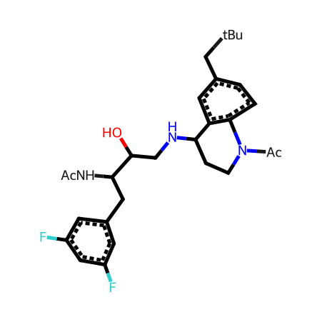 CC(=O)NC(Cc1cc(F)cc(F)c1)C(O)CNC1CCN(C(C)=O)c2ccc(CC(C)(C)C)cc21